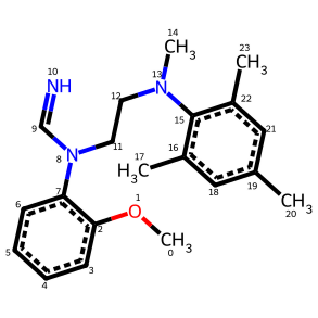 COc1ccccc1N(C=N)CCN(C)c1c(C)cc(C)cc1C